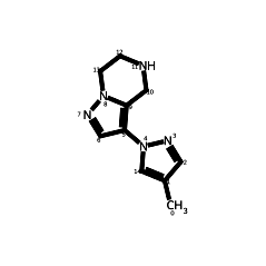 Cc1cnn(-c2cnn3c2CNCC3)c1